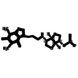 Cn1c(=O)c2c(ncn2CCCN[C@H]2CO[C@H]3[C@@H]2OC[C@@H]3O[N+](=O)[O-])n(C)c1=O